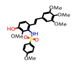 COc1ccc(S(=O)(=O)Nc2c(C=Cc3cc(OC)c(OC)c(OC)c3)ccc(O)c2OC)cc1